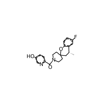 C[C@@H]1CC2(CCN(C(=O)c3ccc(O)cn3)CC2)Oc2ccc(F)cc21